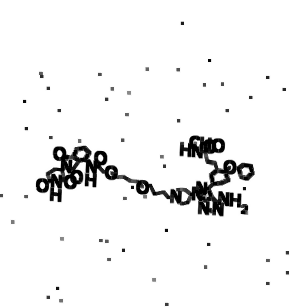 Nc1ncnc2c1c(-c1ccc(Oc3ccccc3)c(C=CC(=O)NC=O)c1)nn2C1CCN(CCCCOCCCCOCC(=O)Nc2cccc3c2C(=O)N(C2CCC(=O)NC2=O)C3=O)CC1